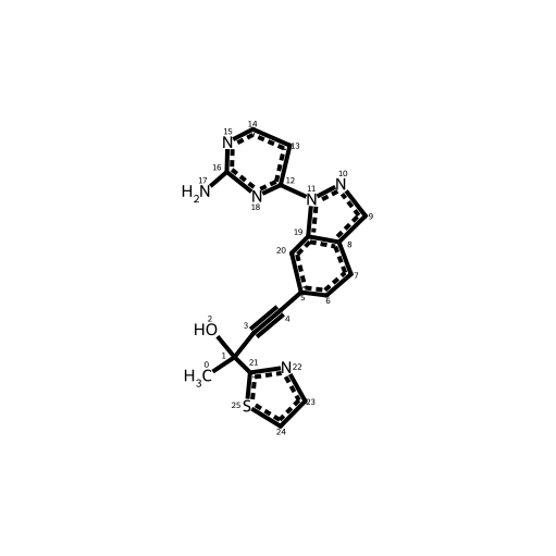 CC(O)(C#Cc1ccc2cnn(-c3ccnc(N)n3)c2c1)c1nccs1